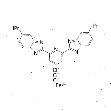 CC(C)C1=CC2=NC(c3cccc(C4=NC5C=CC(C(C)C)=CC5=N4)n3)=NC2C=C1.[Cl-].[Cl-].[Cl-].[Fe+3]